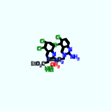 CCOC(=O)CN1C=c2c(Cl)c(Cl)ccc2=NC1N.CCOC(=O)CN1C=c2c(Cl)c(Cl)ccc2=NC1N.Cl.Cl.O